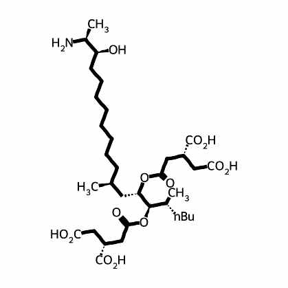 CCCC[C@@H](C)[C@@H](OC(=O)C[C@@H](CC(=O)O)C(=O)O)[C@H](C[C@@H](C)CCCCCCCC[C@H](O)[C@H](C)N)OC(=O)C[C@@H](CC(=O)O)C(=O)O